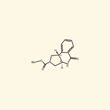 CC(C)(C)OC(=O)N1C[C@@H]2NC(=O)c3ccccc3[C@H]2C1